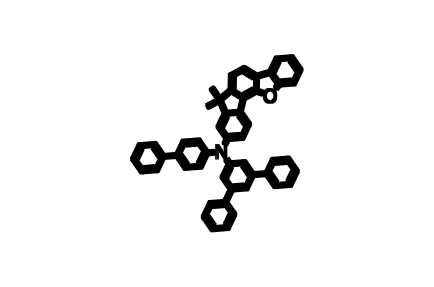 CC1(C)c2cc(N(c3ccc(-c4ccccc4)cc3)c3cc(-c4ccccc4)cc(-c4ccccc4)c3)ccc2-c2c1ccc1c2oc2ccccc21